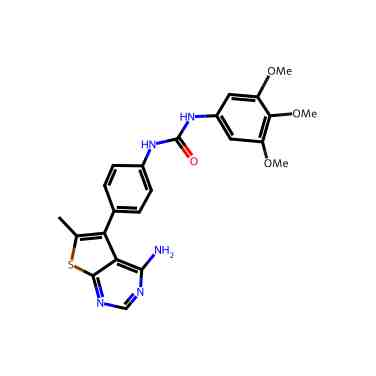 COc1cc(NC(=O)Nc2ccc(-c3c(C)sc4ncnc(N)c34)cc2)cc(OC)c1OC